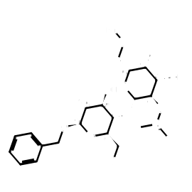 C[SiH](C)O[C@H]1[C@H](O[C@H]2[C@H](O)[C@@H](O)[C@H](OCc3ccccc3)O[C@@H]2CO)O[C@H](COC(C)(C)C)[C@H](O)[C@@H]1O